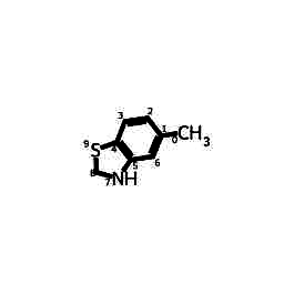 Cc1ccc2c(c1)NCS2